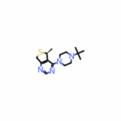 C[C@@H]1SCc2ncnc(N3CCN(C(C)(C)C)CC3)c21